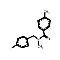 Cc1ccc(C(=O)N(C)Cc2ccc(Cl)cc2)cc1